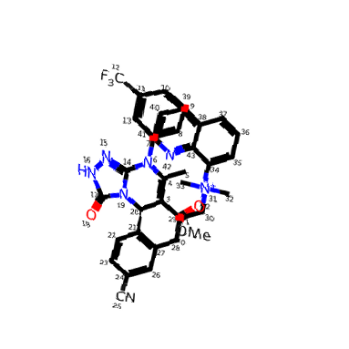 COC(=O)C1=C(C)N(c2cccc(C(F)(F)F)c2)c2n[nH]c(=O)n2[C@@H]1c1ccc(C#N)cc1CCC[N+](C)(C)c1cccc2cccnc12